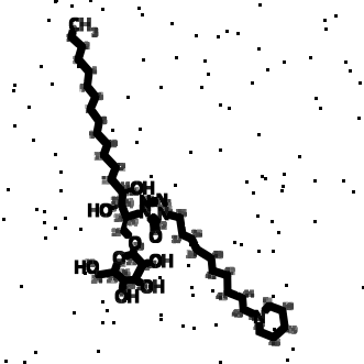 CCCCCCCCCCCCCC[C@@H](O)[C@@H](O)[C@H](COC1OC(CO)C(O)C(O)C1O)n1nnn(CCCCCCCCCCN2CCCCC2)c1=O